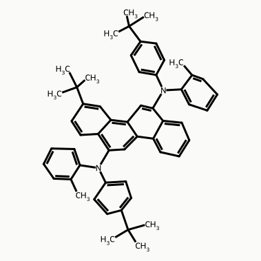 Cc1ccccc1N(c1ccc(C(C)(C)C)cc1)c1cc2c3cc(C(C)(C)C)ccc3c(N(c3ccc(C(C)(C)C)cc3)c3ccccc3C)cc2c2ccccc12